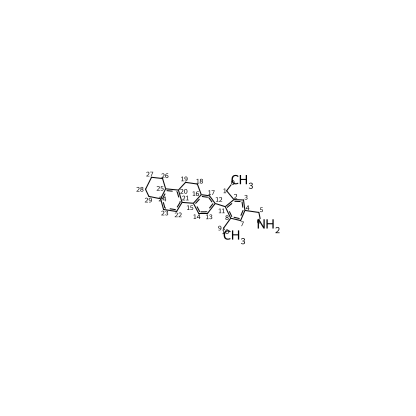 CCc1cc(CN)cc(CC)c1-c1ccc2c(c1)CCc1c-2ccc2c1CCCC2